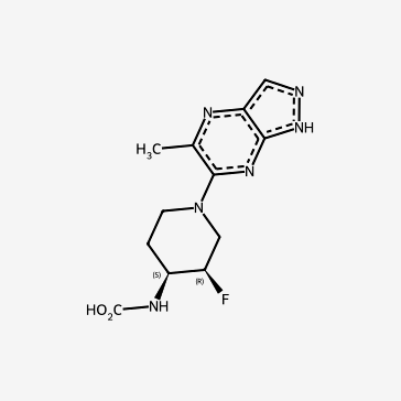 Cc1nc2cn[nH]c2nc1N1CC[C@H](NC(=O)O)[C@H](F)C1